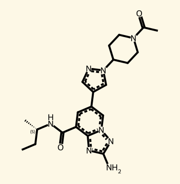 CC[C@H](C)NC(=O)c1cc(-c2cnn(C3CCN(C(C)=O)CC3)c2)cn2nc(N)nc12